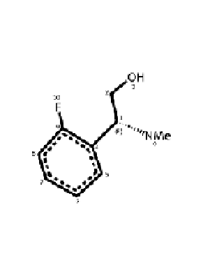 CN[C@@H](CO)c1ccccc1F